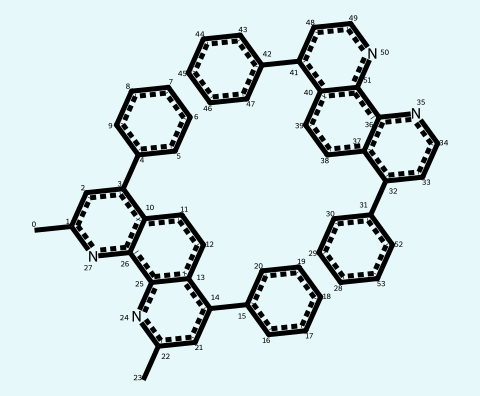 Cc1cc(-c2ccccc2)c2ccc3c(-c4ccccc4)cc(C)nc3c2n1.c1ccc(-c2ccnc3c2ccc2c(-c4ccccc4)ccnc23)cc1